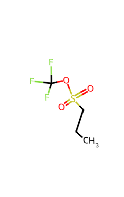 CCCS(=O)(=O)OC(F)(F)F